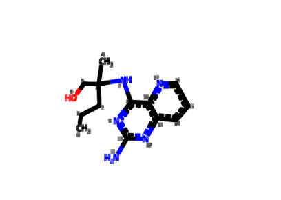 CCCC(C)(CO)Nc1nc(N)nc2cccnc12